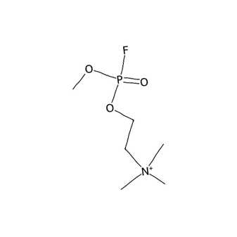 COP(=O)(F)OCC[N+](C)(C)C